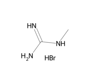 Br.CNC(=N)N